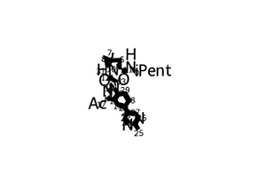 CCC[C@H](C)NC(=O)[C@@H]1C[C@@]2(C)C[C@H]2N1C(=O)Cn1nc(C(C)=O)c2cc(-c3cnc(C)nc3)ccc21